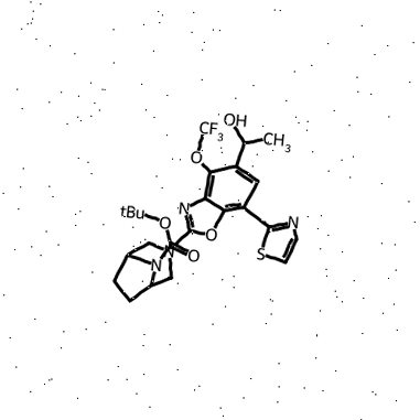 CC(O)c1cc(-c2nccs2)c2oc(N3CC4CCC(C3)N4C(=O)OC(C)(C)C)nc2c1OC(F)(F)F